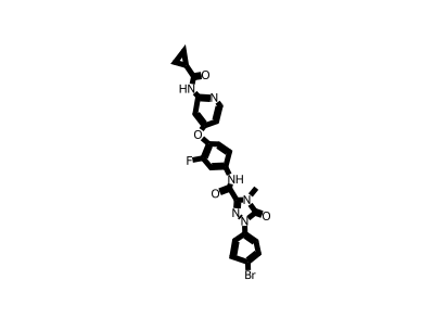 Cn1c(C(=O)Nc2ccc(Oc3ccnc(NC(=O)C4CC4)c3)c(F)c2)nn(-c2ccc(Br)cc2)c1=O